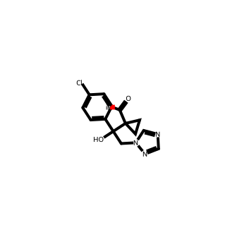 CC(C)C(=O)C1(C(O)(Cn2cncn2)c2ccc(Cl)cc2)CC1